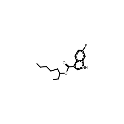 CCCCCC(CC)OC(=O)c1c[nH]c2cc(F)ccc12